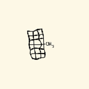 CC12C34C5C6CC7C8CC9C%10C%11C%12C%13CC%14C%15CC%16C5C15C%15%16C%14%13C%125C%112C%103C89C764